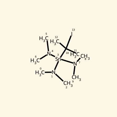 C[N](C)[Sn]([N](C)C)([N](C)C)[C](C)(C)I